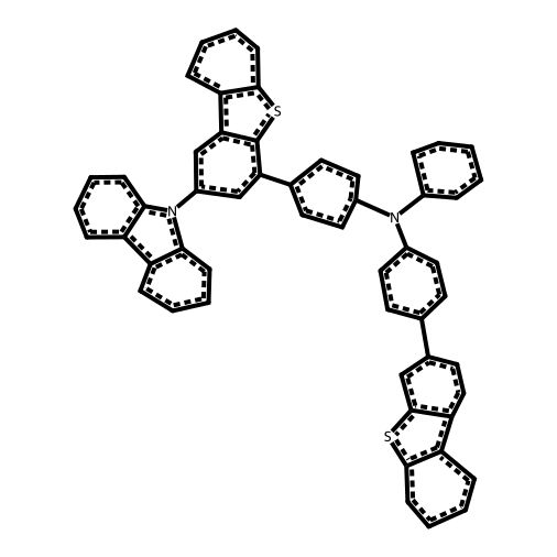 c1ccc(N(c2ccc(-c3ccc4c(c3)sc3ccccc34)cc2)c2ccc(-c3cc(-n4c5ccccc5c5ccccc54)cc4c3sc3ccccc34)cc2)cc1